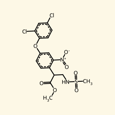 COC(=O)C(CNS(C)(=O)=O)c1ccc(Oc2ccc(Cl)cc2Cl)cc1[N+](=O)[O-]